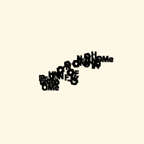 COC(=O)NC(C(=O)N1CCC[C@H]1c1nc2cc([C@H]3CC[C@H](c4ccc5[nH]c([C@@H]6CCCN6C(=O)[C@@H](NC(=O)OC)C(C)C)nc5c4)N3c3cc(F)c(N4[C@H](C)CCC[C@@H]4C)c(F)c3)ccc2[nH]1)C(C)C